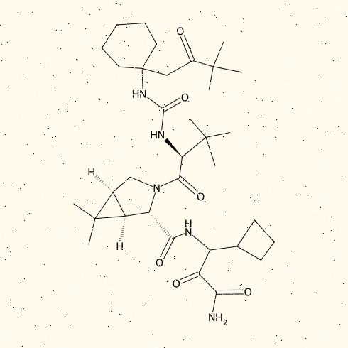 CC(C)(C)C(=O)CC1(NC(=O)N[C@H](C(=O)N2C[C@H]3[C@@H]([C@H]2C(=O)NC(C(=O)C(N)=O)C2CCC2)C3(C)C)C(C)(C)C)CCCCC1